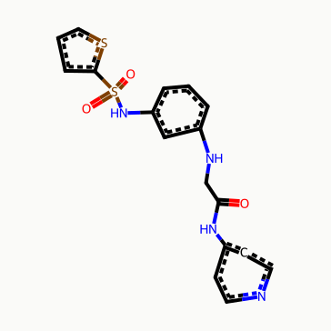 O=C(CNc1cccc(NS(=O)(=O)c2cccs2)c1)Nc1ccncc1